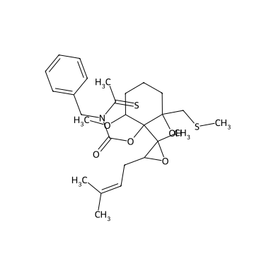 COC1CCCC(O)(CSC)C1(OC(=O)N(Cc1ccccc1)C(C)=S)C1(C)OC1CC=C(C)C